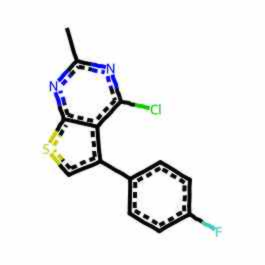 Cc1nc(Cl)c2c(-c3ccc(F)cc3)csc2n1